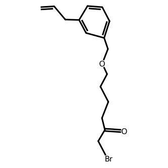 C=CCc1cccc(COCCCCC(=O)CBr)c1